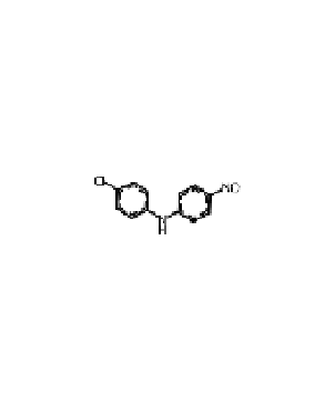 O=Nc1ccc(Nc2ccc(Cl)cc2)cc1